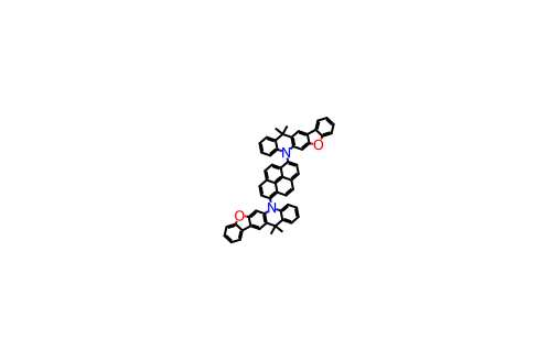 CC1(C)c2ccccc2N(c2ccc3ccc4c(N5c6ccccc6C(C)(C)c6cc7c(cc65)oc5ccccc57)ccc5ccc2c3c54)c2cc3oc4ccccc4c3cc21